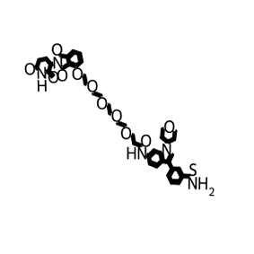 NC(=S)c1cccc(-c2cn(C3CCOCC3)c3cc(NC(=O)CCOCCOCCOCCOCCOc4cccc5c4C(=O)N(C4CCC(=O)NC4=O)C5=O)ccc23)c1